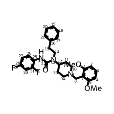 COc1cccc(OC)c1CN1CCC(N(CCc2ccccc2)C(=O)Nc2ccc(F)cc2F)CC1